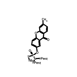 CCCCCN(CCCCC)P(=O)(Oc1ccc2oc3cc(C)ccc3c(=O)c2c1)SCCCC